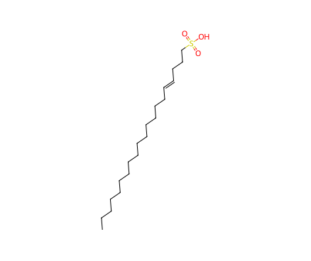 CCCCCCCCCCCCCCCC=CCCCS(=O)(=O)O